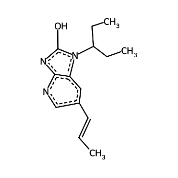 CC=Cc1cnc2nc(O)n(C(CC)CC)c2c1